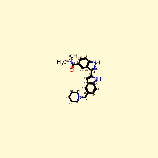 CN(C)C(=O)c1ccc2[nH]nc(-c3cc4cc(CN5CCCCC5)ccc4[nH]3)c2c1